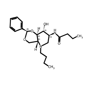 CCCCN1C[C@H](NC(=O)CCC)[C@@H](O)[C@@H]2O[C@H](c3ccccc3)OC[C@H]21